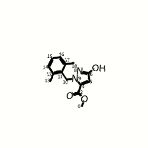 COC(=O)c1cc(O)nn1Cc1c(C)cccc1C